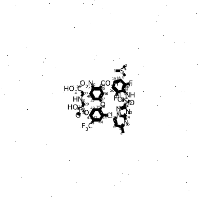 C[S+](C)C.Cc1ccn2nc(S(=O)(=O)Nc3c(F)cccc3F)nc2n1.O=C(O)CNCP(=O)([O-])O.O=C(O)c1cc(Oc2ccc(C(F)(F)F)cc2Cl)ccc1[N+](=O)[O-]